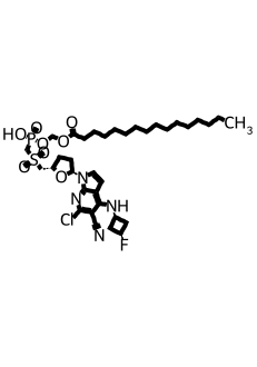 CCCCCCCCCCCCCCCC(=O)OCOP(=O)(O)CS(=O)(=O)C[C@@H]1CC[C@H](n2ccc3c(N[C@H]4C[C@@H](F)C4)c(C#N)c(Cl)nc32)O1